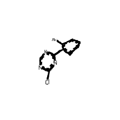 Clc1ncnc(-c2ccccc2Br)n1